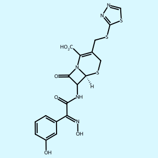 O=C(O)C1=C(CSc2nncs2)CS[C@H]2C(NC(=O)C(=NO)c3cccc(O)c3)C(=O)N12